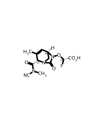 CC1=C[C@@H]2CN(C(=O)N2O[C@@H](F)C(=O)O)[C@@H]1C(=O)N(C)C#N